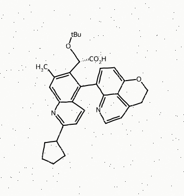 Cc1cc2nc(C3CCCC3)ccc2c(-c2ccc3c4c(ccnc24)CCO3)c1[C@H](OC(C)(C)C)C(=O)O